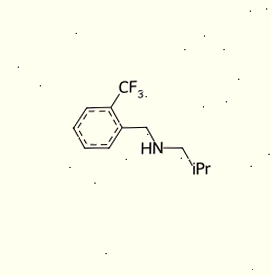 CC(C)CNCc1ccccc1C(F)(F)F